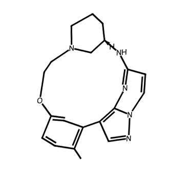 Cc1ccc2cc1-c1cnn3ccc(nc13)N[C@H]1CCCN(CCO2)C1